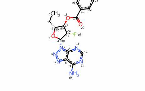 CC[C@H]1O[C@@H](n2nnc3c(N)ncnc32)[C@@H](F)[C@@H]1OC(=O)c1ccccc1